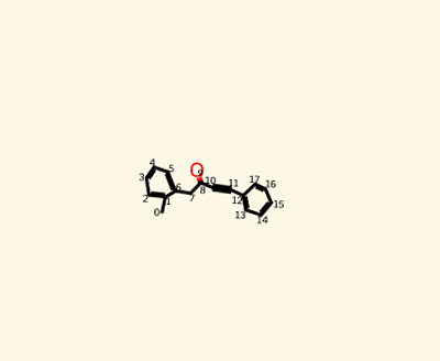 Cc1ccccc1CC(=O)C#Cc1ccccc1